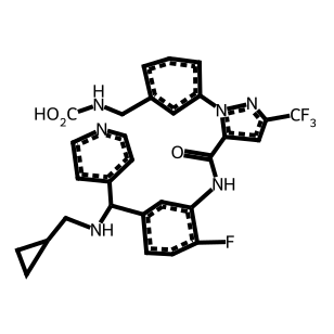 O=C(O)NCc1cccc(-n2nc(C(F)(F)F)cc2C(=O)Nc2cc(C(NCC3CC3)c3ccncc3)ccc2F)c1